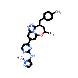 Cc1ccc(CC2CC(C)Oc3cc(-c4ccnc(Nc5ccnn5C)n4)cc4nnc2n34)cc1